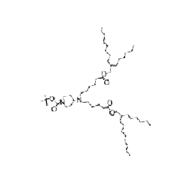 CCCCCCCCC(CCCCCC)COC(=O)CCCCCN(CCCCCC(=O)OCC(CCCCCC)CCCCCCCC)C1CCN(C(=O)OC(C)(C)C)CC1